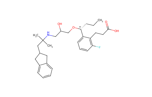 CCC[C@@H](OCC(O)CNC(C)(C)CC1Cc2ccccc2C1)c1cccc(F)c1CCC(=O)O